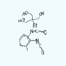 CCC(CO)(CO)CO.Cc1cccc(N=C=O)c1N=C=O